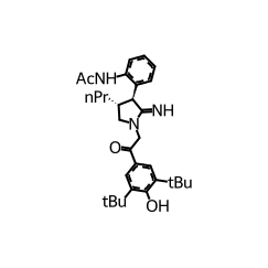 CCC[C@H]1CN(CC(=O)c2cc(C(C)(C)C)c(O)c(C(C)(C)C)c2)C(=N)[C@@H]1c1ccccc1NC(C)=O